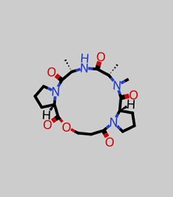 C[C@@H]1NC(=O)[C@H](C)N(C)C(=O)[C@@H]2CCCN2C(=O)CCOC(=O)[C@@H]2CCCN2C1=O